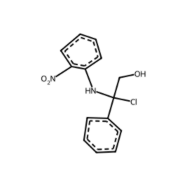 O=[N+]([O-])c1ccccc1NC(Cl)(CO)c1ccccc1